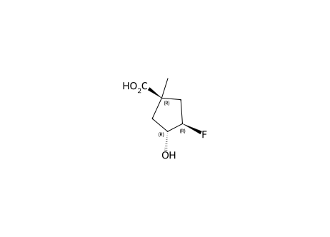 C[C@@]1(C(=O)O)C[C@@H](O)[C@H](F)C1